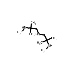 CNC(C)(C)CNCC(C)(C)NC